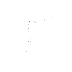 CCC[C@@H](C)[C@H]1CC[C@H]2[C@@H]3CC[C@@H]4C[C@H](OCCNC(=O)CCC(N)C(=O)O)CC[C@]4(C)[C@H]3C[C@H](OCCNC(=O)CCC(N)C(=O)O)[C@]12C